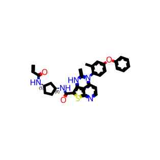 C=CC(=O)N[C@H]1CC[C@@H](NC(=O)c2sc3nccc4c3c2[nH]c(=C)n4-c2ccc(Oc3ccccc3)cc2C)C1